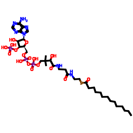 CCCCCCCCCCCCCC(=O)SCCNC(=O)CCNC(=O)C(O)C(C)(C)COP(=O)(O)OP(=O)(O)OC[C@H]1O[C@@H](n2cnc3c(N)ncnc32)[C@H](O)[C@@H]1OP(=O)(O)O